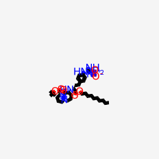 CCCCCCCCCCOC(=O)[C@H](CCc1ccc(NC(N)=N[N+](=O)[O-])cc1)N[C@H]1CCCN2CCC[C@@H](C(=O)OC(C)(C)C)N2C1=O